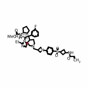 C=CC(=O)NC1CC(S(=O)(=O)c2ccc(N3CC(CN4CCC(C(c5cccc(F)c5)([C@H](C)n5ccnc5CC)[C@H]5CCC[C@@H]5NC(=O)OC)CC4)C3)cc2)C1